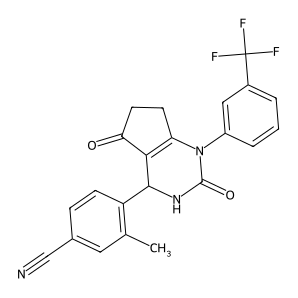 Cc1cc(C#N)ccc1C1NC(=O)N(c2cccc(C(F)(F)F)c2)C2=C1C(=O)CC2